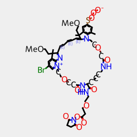 COCCC1(C)C2=Nc3c1cc(Br)c[n+]3CCOCCC(=O)NC(C(=O)NCCOCCC(=O)ON1C(=O)CCC1=O)CCCCNC(=O)CCOCCN1/C(=C/C=C/C=C/2)C(C)(CCOC)c2cc(SOO[O-])cc(C)c21